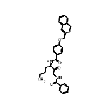 CCCCC(NC(=O)c1ccc(OCc2ccc3ccccc3c2)cc1)C(=O)CNC(=O)c1ccccc1